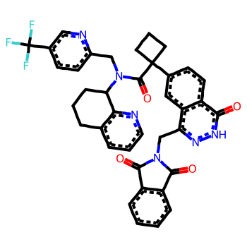 O=C1c2ccccc2C(=O)N1Cc1n[nH]c(=O)c2ccc(C3(C(=O)N(Cc4ccc(C(F)(F)F)cn4)C4CCCc5cccnc54)CCC3)cc12